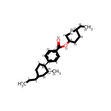 CCCC1CC[C@@H](c2ccc(C(=O)OC3CCC(CC)CC3)cc2)[C@H](C)C1